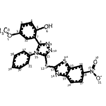 COc1ccc(O)c(-c2nnc(Sc3nc4ccc([N+](=O)[O-])cc4s3)n2-c2ccccc2)c1